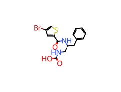 O=C(O)NC[C@H](Cc1ccccc1)NC(=O)c1cc(Br)cs1